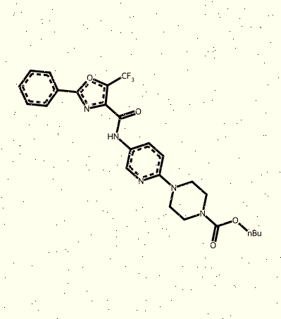 CCCCOC(=O)N1CCN(c2ccc(NC(=O)c3nc(-c4ccccc4)oc3C(F)(F)F)cn2)CC1